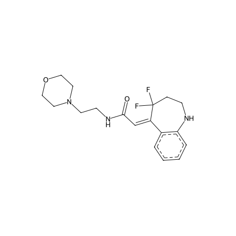 O=C(C=C1c2ccccc2NCCC1(F)F)NCCN1CCOCC1